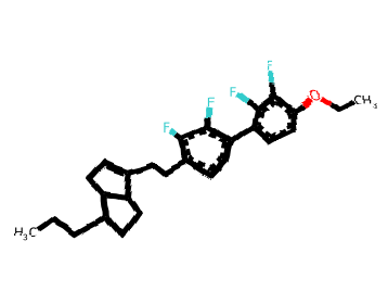 CCCC1CCC2C(CCc3ccc(-c4ccc(OCC)c(F)c4F)c(F)c3F)=CCC12